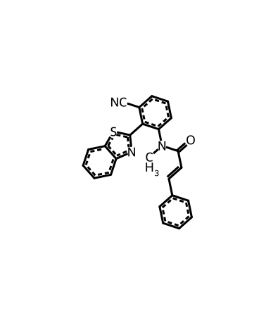 CN(C(=O)/C=C/c1ccccc1)c1cccc(C#N)c1-c1nc2ccccc2s1